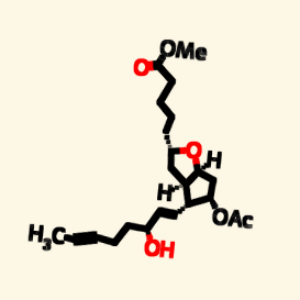 CC#CCC[C@H](O)C=C[C@@H]1[C@H]2C[C@H](CCCCC(=O)OC)O[C@H]2C[C@H]1OC(C)=O